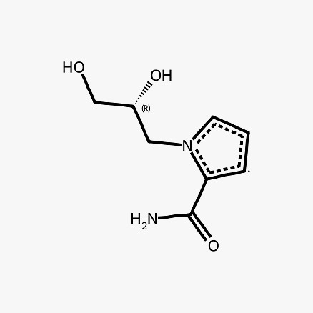 NC(=O)c1[c]ccn1C[C@@H](O)CO